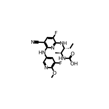 CC[C@@H](Nc1nc(Nc2cnc(OC)c(F)c2)c(C#N)cc1F)[C@H](C)NC(=O)O